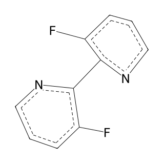 Fc1cccnc1-c1ncccc1F